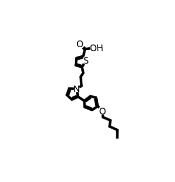 CCCCCOc1ccc(-c2cccn2CCCc2ccc(C(=O)O)s2)cc1